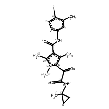 Cc1cc(NC(=O)c2c(C)c(C(=O)C(=O)NC3(C(F)(F)F)CC3)n(C)c2C)cnc1F